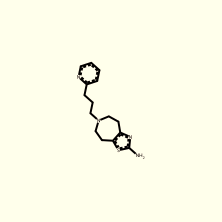 Nc1nc2c(s1)CCN(CCCc1ccccn1)CC2